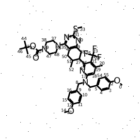 COc1ccc(CN(Cc2ccc(OC)cc2)c2cc(C)c(C(F)(F)F)c(C3Cc4nc(SC)nc(N5CCN(C(=O)OC(C)(C)C)CC5)c4CC3C)n2)cc1